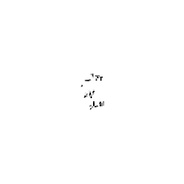 [Ce].[Ti].[V].[Zr]